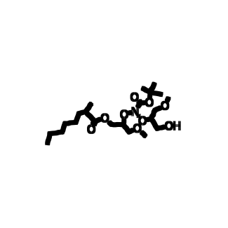 CCCCCCC(C)C(=O)OCC(COC)ON(OC(CO)COC)C(=O)OC(C)(C)C